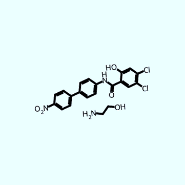 NCCO.O=C(Nc1ccc(-c2ccc([N+](=O)[O-])cc2)cc1)c1cc(Cl)c(Cl)cc1O